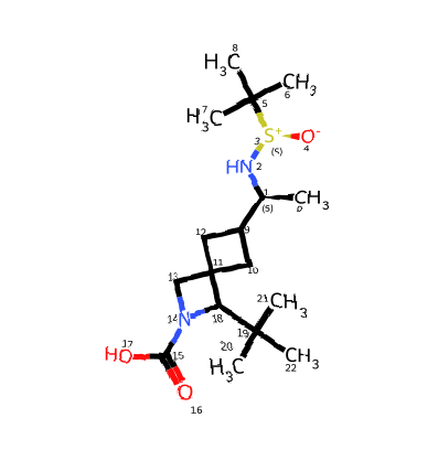 C[C@H](N[S@+]([O-])C(C)(C)C)C1CC2(C1)CN(C(=O)O)C2C(C)(C)C